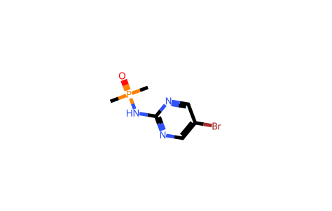 CP(C)(=O)Nc1ncc(Br)cn1